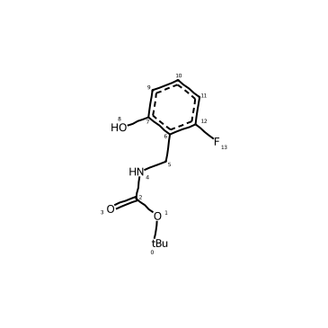 CC(C)(C)OC(=O)NCc1c(O)cccc1F